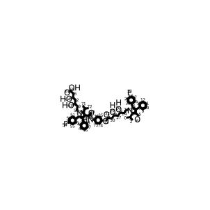 CC(C)c1c(C=O)c(-c2ccccc2)c(-c2ccc(F)cc2)n1CCC(O)CC(O)CC(=O)Oc1ccc(NC(=O)c2c(-c3ccccc3)c(-c3ccc(F)cc3)n(CCC(O)CC(O)CC(=O)O)c2C(C)C)cc1